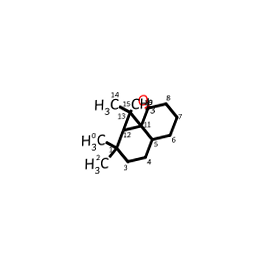 CC1(C)CCC2CCCC(=O)C23C1C3(C)C